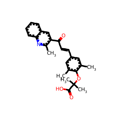 Cc1cc(/C=C/C(=O)c2cc3ccccc3nc2C)cc(C)c1OC(C)(C)C(=O)O